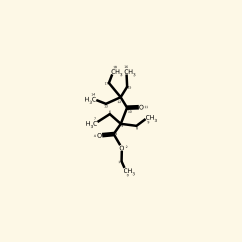 CCOC(=O)C(CC)(CC)C(=O)C(CC)(CC)CC